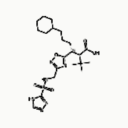 CC(C)(C)C(C(=O)O)[C@@H](CCCC1CCCCC1)c1nc(CNS(=O)(=O)c2nnc[nH]2)no1